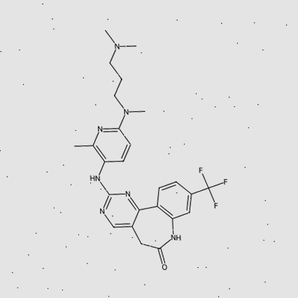 Cc1nc(N(C)CCCN(C)C)ccc1Nc1ncc2c(n1)-c1ccc(C(F)(F)F)cc1NC(=O)C2